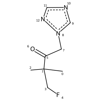 CC(C)(CF)C(=O)Cn1cncn1